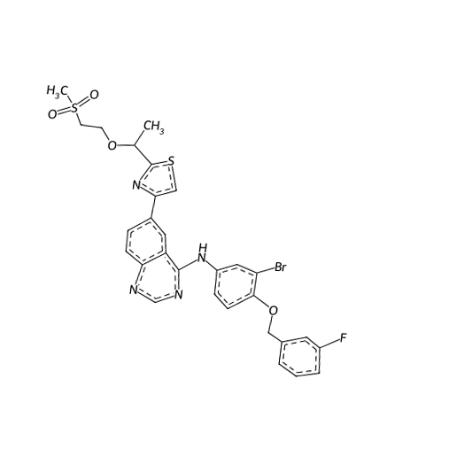 CC(OCCS(C)(=O)=O)c1nc(-c2ccc3ncnc(Nc4ccc(OCc5cccc(F)c5)c(Br)c4)c3c2)cs1